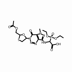 CCOP(=O)(OCC)C(Nc1nn(C)c2c(=O)n(C3CSC(COC(C)=O)O3)nnc12)C(=O)O